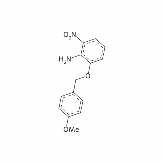 COc1ccc(COc2cccc([N+](=O)[O-])c2N)cc1